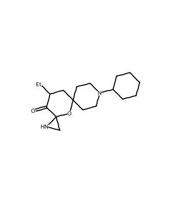 CCC1CC2(CCN(C3CCCCC3)CC2)OC2(CN2)C1=O